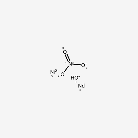 O=[N+]([O-])[O-].[Nd].[Ni+2].[OH-]